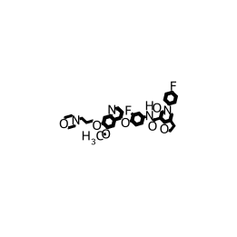 COc1cc2c(Oc3ccc(NC(=O)c4c5c(cn(-c6ccc(F)cc6)c4=O)CCO5)cc3F)ccnc2cc1OCCCN1CCOCC1